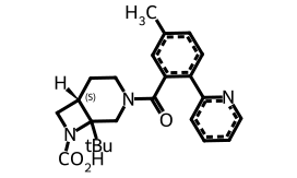 Cc1ccc(-c2ccccn2)c(C(=O)N2CC[C@H]3CN(C(=O)O)C3(C(C)(C)C)C2)c1